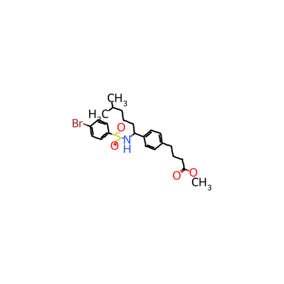 COC(=O)CCCc1ccc(C(CCCC(C)C)NS(=O)(=O)c2ccc(Br)cc2)cc1